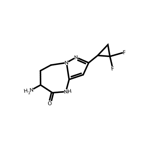 NC1CCn2nc(C3CC3(F)F)cc2NC1=O